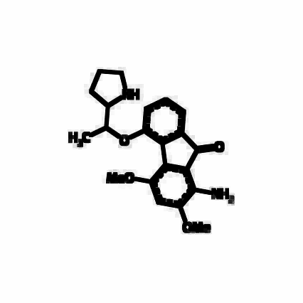 COc1cc(OC)c2c(c1N)C(=O)c1cccc(OC(C)C3CCCN3)c1-2